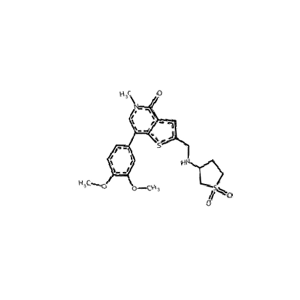 COc1ccc(-c2cn(C)c(=O)c3cc(CNC4CCS(=O)(=O)C4)sc23)cc1OC